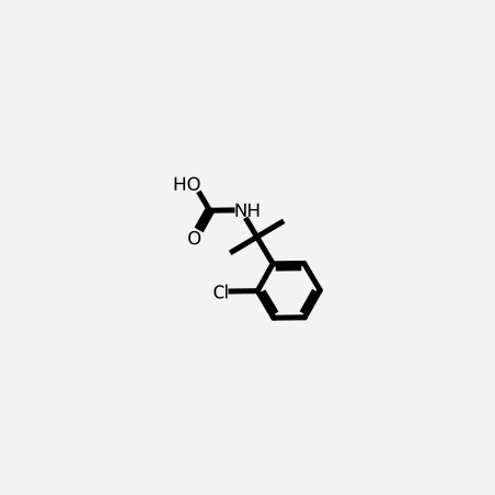 CC(C)(NC(=O)O)c1ccccc1Cl